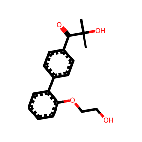 CC(C)(O)C(=O)c1ccc(-c2ccccc2OCCO)cc1